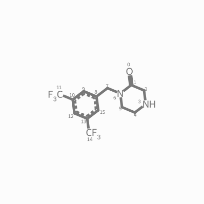 O=C1CNCCN1Cc1cc(C(F)(F)F)cc(C(F)(F)F)c1